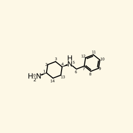 N[C@H]1CC[C@@H](NCc2ccccc2)CC1